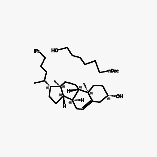 CC(C)CCCC(C)[C@H]1CC[C@H]2[C@@H]3CC=C4C[C@@H](O)CC[C@]4(C)[C@H]3CC[C@]12C.CCCCCCCCCCCCCCCCO